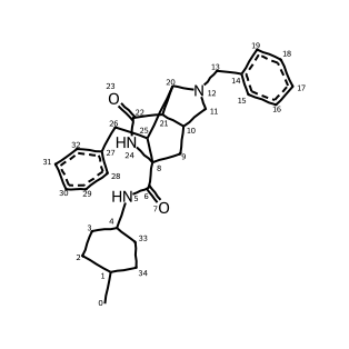 CC1CCC(NC(=O)C23CC4CN(Cc5ccccc5)C(C4C(=O)N2)C3Cc2ccccc2)CC1